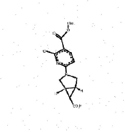 CC(C)(C)OC(=O)c1ccc(N2C[C@@H]3C(C(=O)O)[C@@H]3C2)nc1Cl